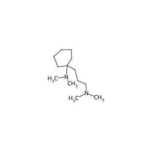 CN(C)CCCC1(N(C)C)CCCCC1